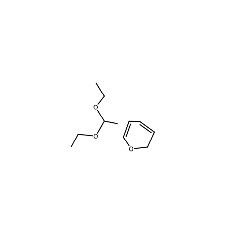 C1=CCOC=C1.CCOC(C)OCC